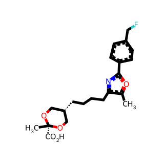 Cc1oc(-c2ccc(CF)cc2)nc1CCCC[C@H]1CO[C@@](C)(C(=O)O)OC1